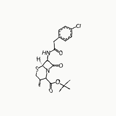 C=C1CS[C@H]2C(NC(=O)Cc3ccc(Cl)cc3)C(=O)N2C1C(=O)OC(C)(C)C